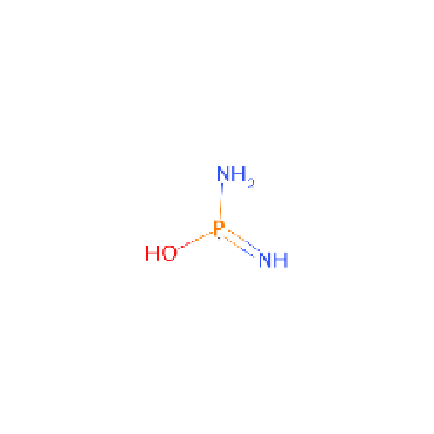 N=[P](N)O